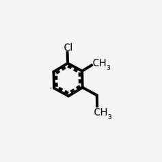 CCc1c[c]cc(Cl)c1C